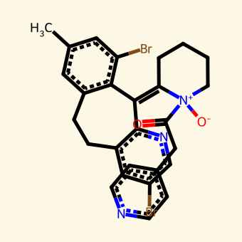 Cc1cc(Br)c2c(c1)CCc1cc(Br)cnc1/C2=C1/CCCC[N+]1([O-])C(=O)Cc1ccncc1